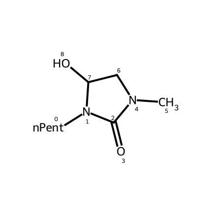 CCCCCN1C(=O)N(C)CC1O